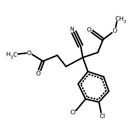 COC(=O)CCC(C#N)(CC(=O)OC)c1ccc(Cl)c(Cl)c1